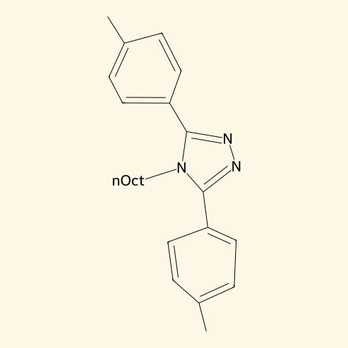 CCCCCCCCn1c(-c2ccc(C)cc2)nnc1-c1ccc(C)cc1